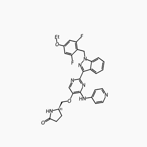 CCOc1cc(F)c(Cn2nc(-c3ncc(OC[C@H]4CCC(=O)N4)c(Nc4ccncc4)n3)c3ccccc32)c(F)c1